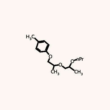 C[CH]COC(C)COC(C)COc1ccc(C)cc1